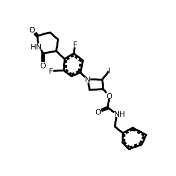 O=C1CCC(c2c(F)cc(N3CC(OC(=O)NCc4ccccc4)C3I)cc2F)C(=O)N1